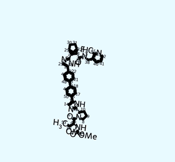 COC(=O)N[C@H](C(=O)N1CCC[C@H]1c1ncc(-c2ccc(-c3ccc(-c4cnc([C@H]5C6CCC(C6)[C@@H]5C(=O)NCc5cccnc5C(F)(F)F)[nH]4)cc3)cc2)[nH]1)[C@@H](C)OC